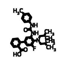 Cc1ccc(NC(=O)Nc2cc(-c3ccccc3C(=O)O)cc(F)c2N(CC(C)C)CC(C)C)cc1